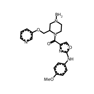 BN1CCN(C(=O)c2coc(Nc3ccc(OC)cc3)n2)C(COc2cccnc2)C1